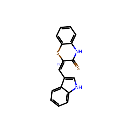 S=C1Nc2ccccc2S/C1=C/c1c[nH]c2ccccc12